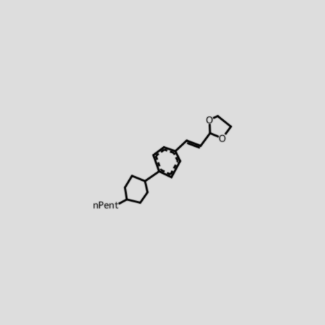 CCCCCC1CCC(c2ccc(/C=C/C3OCCO3)cc2)CC1